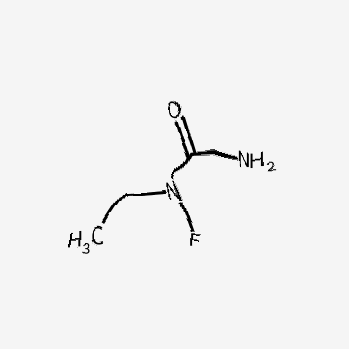 CCN(F)C(N)=O